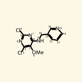 COc1c(Cl)nc(Cl)nc1NCc1cccnc1